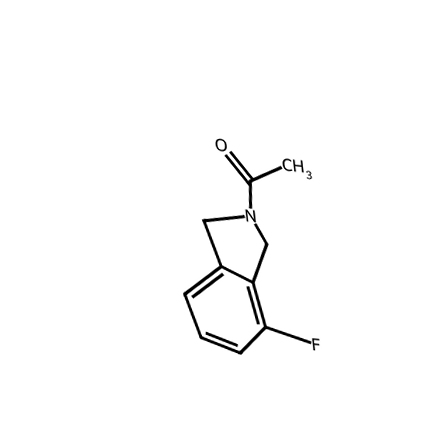 CC(=O)N1Cc2cccc(F)c2C1